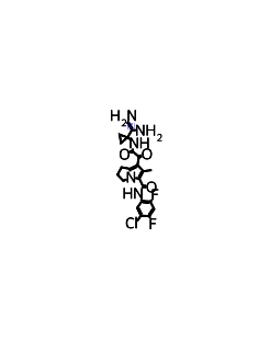 Cc1c(C(=O)C(=O)NC2(/C(N)=C/N)CC2)c2n(c1C(=O)Nc1cc(Cl)c(F)cc1F)CCC2